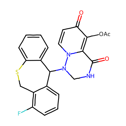 CC(=O)Oc1c2n(ccc1=O)N(C1c3ccccc3SCc3c(F)cccc31)CNC2=O